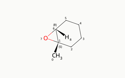 C[C@]12CCCC[C@H]1O2